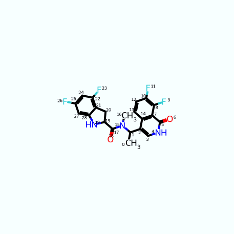 CC(c1c[nH]c(=O)c2c(F)c(F)ccc12)N(C)C(=O)C1Cc2c(F)cc(F)cc2N1